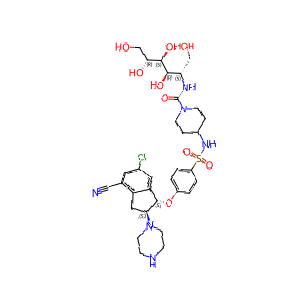 N#Cc1cc(Cl)cc2c1C[C@H](N1CCNCC1)[C@H]2Oc1ccc(S(=O)(=O)NC2CCN(C(=O)N[C@@H](CO)[C@@H](O)[C@H](O)[C@H](O)CO)CC2)cc1